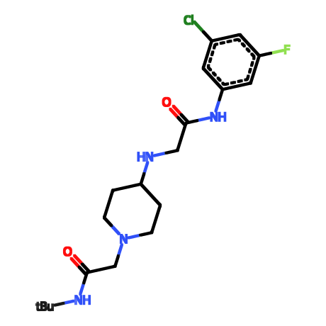 CC(C)(C)NC(=O)CN1CCC(NCC(=O)Nc2cc(F)cc(Cl)c2)CC1